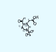 CC(=O)N1[C@@H](CC(=O)O)CN(S(C)(=O)=O)C[C@@H]1C